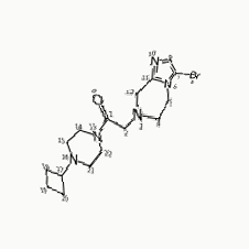 O=C(CN1CCn2c(Br)cnc2C1)N1CCN(C2CCC2)CC1